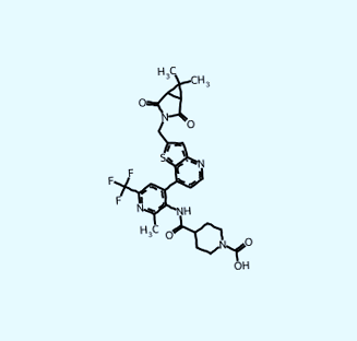 Cc1nc(C(F)(F)F)cc(-c2ccnc3cc(CN4C(=O)C5C(C4=O)C5(C)C)sc23)c1NC(=O)C1CCN(C(=O)O)CC1